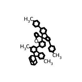 Cc1ccc(-c2ccc3c(c2)C2(c4ccccc4Oc4c(-c5cc(C)cc6c5-c5ccc(C)cc5C65C6CC7CC(C6)CC5C7)cccc42)c2cc(-c4ccc(C)cc4)ccc2-3)cc1